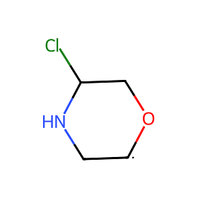 ClC1CO[CH]CN1